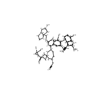 N#CCC1CCN(c2nc(OC[C@@]34CCCN3C[C@H](F)C4)nc3c(F)c(-c4ccc(F)c5sc(N)c(C#N)c45)c(Cl)cc23)CC2(C1)CN(C(=O)C1CC1(F)F)C2